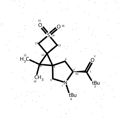 CC(C)(C)C(=O)[C@@H]1CC2(CN1C(C)(C)C)C(C)(C)C21CS(=O)(=O)C1